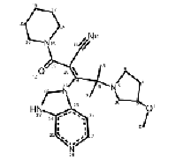 COC1CCN(C(C)(C)C(=C(C#N)C(=O)N2CCCCC2)N2CNc3cnccc32)C1